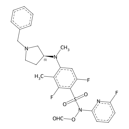 Cc1c(N(C)[C@H]2CCN(Cc3ccccc3)C2)cc(F)c(S(=O)(=O)N(OC=O)c2cccc(F)n2)c1F